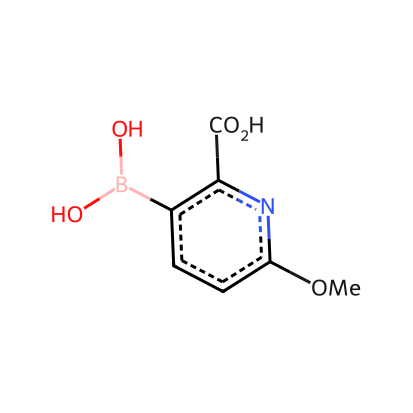 COc1ccc(B(O)O)c(C(=O)O)n1